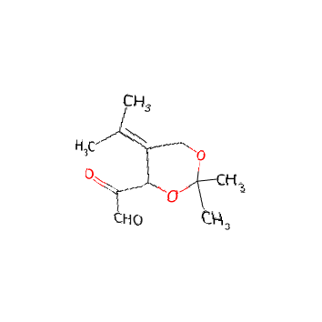 CC(C)=C1COC(C)(C)OC1C(=O)C=O